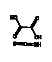 N=C=S.O=C(O)C(=O)O